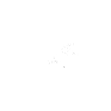 CCCCCC(O)CC(CCc1ccc(O)c(CO)c1)NC(C)CO